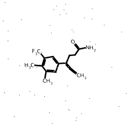 C=C=C(CCC(N)=O)c1cc(C)c(C)c(C(F)(F)F)c1